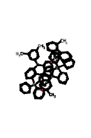 Cc1cc(C)cc(N2c3cc(-n4c5ccccc5c5c(C)cccc54)cc4c3B(c3ccc(C)cc3N4c3ccccc3[Si](c3ccccc3)(c3ccccc3)c3ccccc3)c3c2cccc3[Si](c2ccccc2)(c2ccccc2)c2ccccc2)c1